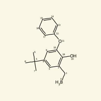 BCc1cc(C(C)(C)C)cc(Oc2ccccc2)c1O